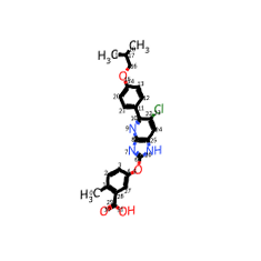 Cc1ccc(Oc2nc3nc(-c4ccc(OCC(C)C)cc4)c(Cl)cc3[nH]2)cc1C(=O)O